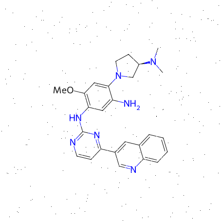 COc1cc(N2CC[C@@H](N(C)C)C2)c(N)cc1Nc1nccc(-c2cnc3ccccc3c2)n1